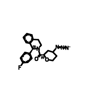 [N-]=[N+]=NC1CCO[C@@H](C(=O)N2CCc3ccccc3[C@@H]2c2ccc(F)cc2)C1